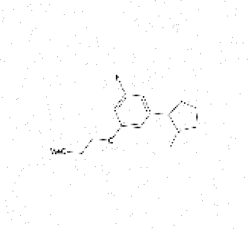 COCCOc1cc(F)cc(C2CCCN2C)c1